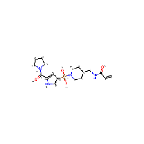 C=CC(=O)NCC1CCN(S(=O)(=O)c2c[nH]c(C(=O)N3CCCC3)c2)CC1